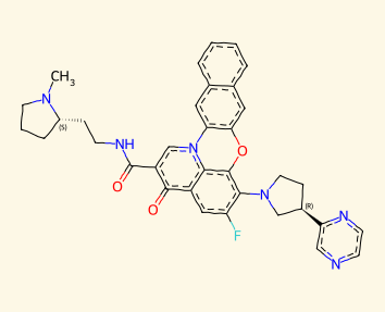 CN1CCC[C@H]1CCNC(=O)c1cn2c3c(c(N4CC[C@@H](c5cnccn5)C4)c(F)cc3c1=O)Oc1cc3ccccc3cc1-2